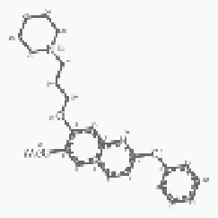 COc1cc2ccc(Oc3ccccc3)nc2cc1OCCCN1CCCCC1